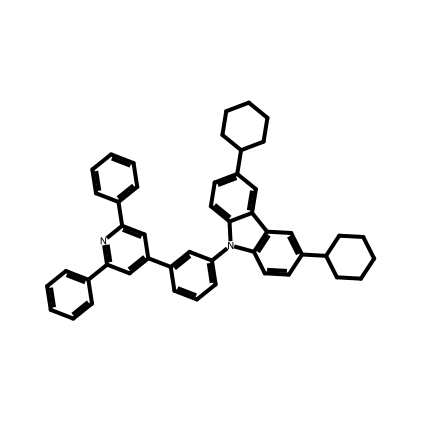 c1ccc(-c2cc(-c3cccc(-n4c5ccc(C6CCCCC6)cc5c5cc(C6CCCCC6)ccc54)c3)cc(-c3ccccc3)n2)cc1